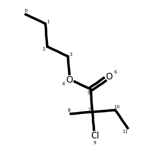 CCCCOC(=O)C(C)(Cl)CC